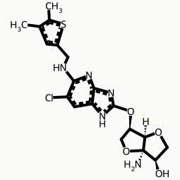 Cc1cc(CNc2nc3nc(O[C@@H]4CO[C@]5(N)[C@H](O)CO[C@H]45)[nH]c3cc2Cl)sc1C